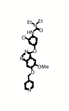 CCN(CC)C(=O)Nc1ccc(Oc2ncnc3cc(OCc4ccncc4)c(OC)cc23)cc1Cl